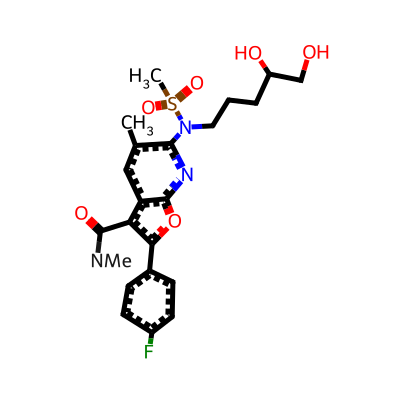 CNC(=O)c1c(-c2ccc(F)cc2)oc2nc(N(CCCC(O)CO)S(C)(=O)=O)c(C)cc12